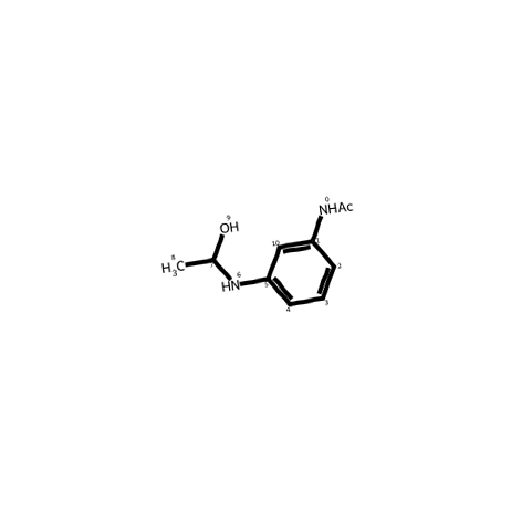 CC(=O)Nc1cccc(NC(C)O)c1